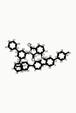 Cc1ccc(-c2ccc3c4ccc(-c5ccc(C)cc5)cc4n(-c4cccc5c4C(=O)N(c4cc(-c6ccccc6)cc(-c6ccccc6)c4)C5=O)c3c2)cc1